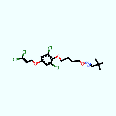 CC(C)(C)/C=N/OCCCCOc1c(Cl)cc(OCC=C(Cl)Cl)cc1Cl